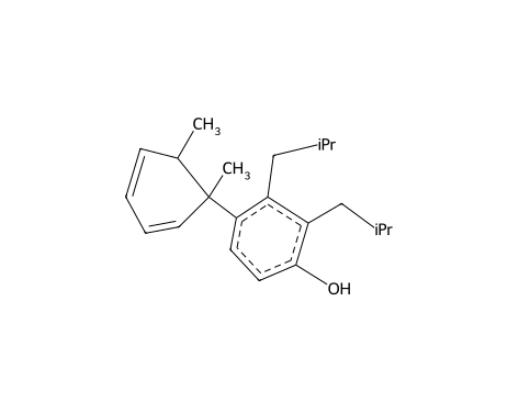 CC(C)Cc1c(O)ccc(C2(C)C=CC=CC2C)c1CC(C)C